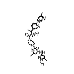 Cc1cn(-c2ccc(C(C)NC(=O)N3CCN(c4nc(C)cc(Nc5cc(C)[nH]n5)n4)CC3)cn2)cn1